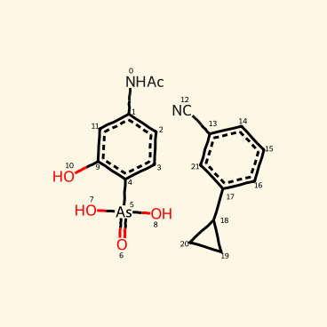 CC(=O)Nc1ccc([As](=O)(O)O)c(O)c1.N#Cc1cccc(C2CC2)c1